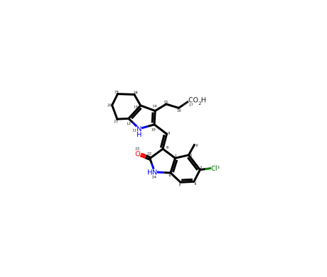 Cc1c(Cl)ccc2c1C(=Cc1[nH]c3c(c1CCC(=O)O)CCCC3)C(=O)N2